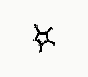 Cc1c([S-])n[n+](C)n1C